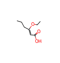 CCCC(=CC(=O)O)OCC